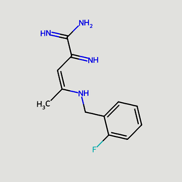 C/C(=C/C(=N)C(=N)N)NCc1ccccc1F